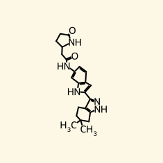 CC1(C)CCc2c(-c3cc4ccc(NC(=O)CC5CCC(=O)N5)cc4[nH]3)n[nH]c2C1